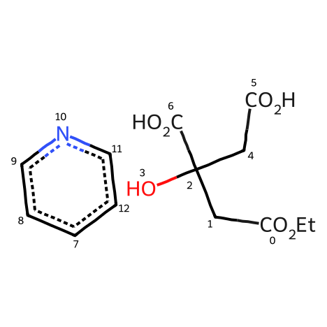 CCOC(=O)CC(O)(CC(=O)O)C(=O)O.c1ccncc1